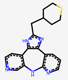 c1cnc2c(c1)-c1nc(CC3CCSCC3)[nH]c1-c1ccncc1N2